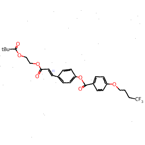 CC(C)(C)C(=O)OCCOC(=O)/C=C/c1ccc(OC(=O)c2ccc(OCCCC(F)(F)F)cc2)cc1